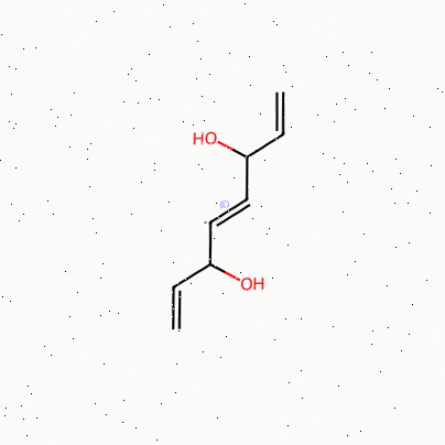 C=CC(O)/[C]=C/C(O)C=C